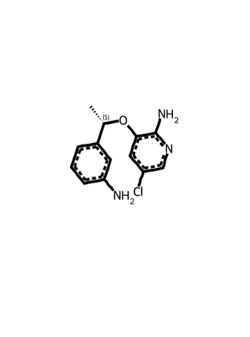 C[C@H](Oc1cc(Cl)cnc1N)c1cccc(N)c1